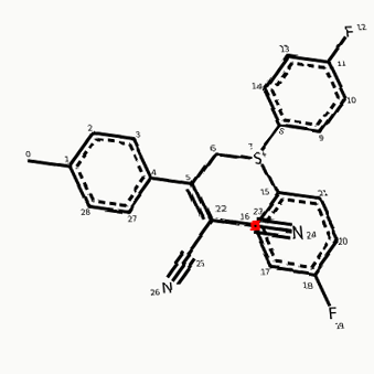 Cc1ccc(C(C[S+](c2ccc(F)cc2)c2ccc(F)cc2)=C(C#N)C#N)cc1